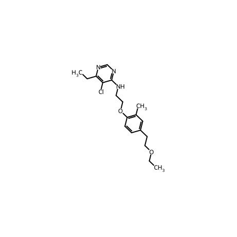 CCOCCc1ccc(OCCNc2ncnc(CC)c2Cl)c(C)c1